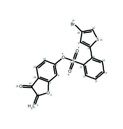 C=C1Oc2cc(OS(=O)(=O)c3ccccc3-c3cc(Br)cs3)ccc2C1=O